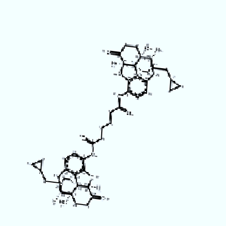 O=C(CCCCC(=O)Oc1ccc2c3c1O[C@H]1C(=O)CC[C@@]4(O)[C@@H](C2)N(CC2CC2)CC[C@]314)Oc1ccc2c3c1O[C@H]1C(=O)CC[C@@]4(O)[C@@H](C2)N(CC2CC2)CC[C@]314